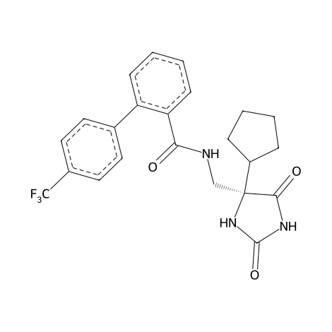 O=C1NC(=O)[C@](CNC(=O)c2ccccc2-c2ccc(C(F)(F)F)cc2)(C2CCCC2)N1